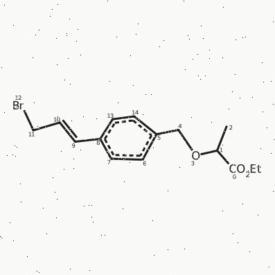 CCOC(=O)C(C)OCc1ccc(C=CCBr)cc1